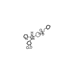 O=S(=O)(CCc1ccccc1)N1CCC(c2nc(-c3ccc4c(c3)OCO4)c(-c3ccccn3)[nH]2)CC1